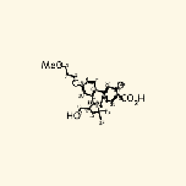 COCCCOc1ccc2c(c1)C1C(CO)CC(C)(C)N1n1cc(C(=O)O)c(=O)cc1-2